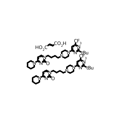 CC(C)(C)c1nc(N2CCN(CCCCn3ccc(N4CCCCC4)nc3=O)CC2)cc(C(F)(F)F)n1.CC(C)(C)c1nc(N2CCN(CCCCn3ccc(N4CCCCC4)nc3=O)CC2)cc(C(F)(F)F)n1.O=C(O)C=CC(=O)O